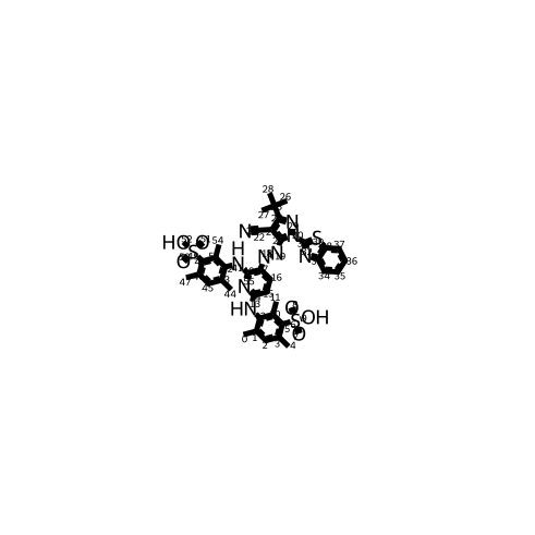 Cc1cc(C)c(S(=O)(=O)O)c(C)c1Nc1ccc(N=Nc2c(C#N)c(C(C)(C)C)nn2-c2nc3ccccc3s2)c(Nc2c(C)cc(C)c(S(=O)(=O)O)c2C)n1